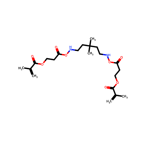 C=C(C)C(=O)OCCC(=O)ONCCC(C)(C)CCNOC(=O)CCOC(=O)C(=C)C